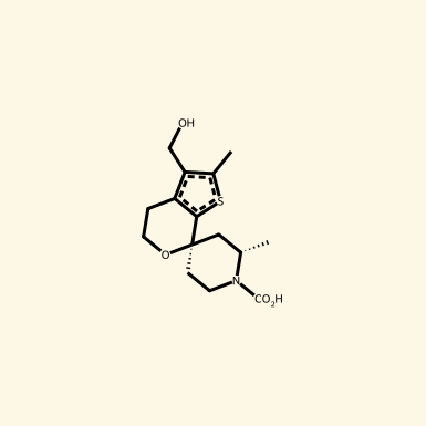 Cc1sc2c(c1CO)CCO[C@@]21CCN(C(=O)O)[C@@H](C)C1